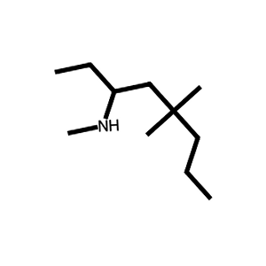 CCCC(C)(C)CC(CC)NC